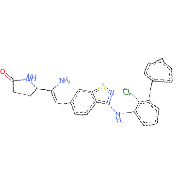 NC(=Cc1ccc2c(Nc3cccc(-c4ccccc4)c3Cl)nsc2c1)C1CCC(=O)N1